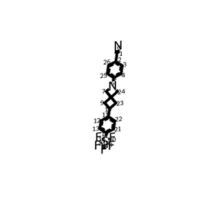 N#Cc1ccc(N2CC3(CC(c4ccc(S(F)(F)(F)(F)F)cc4)C3)C2)cc1